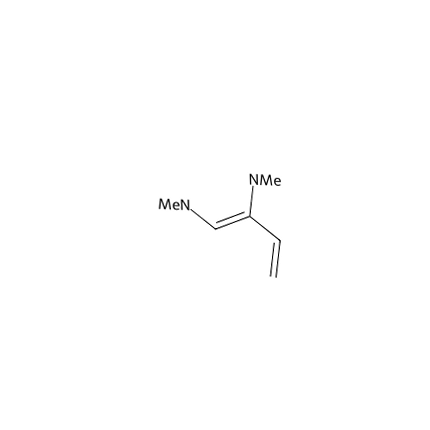 C=C/C(=C/NC)NC